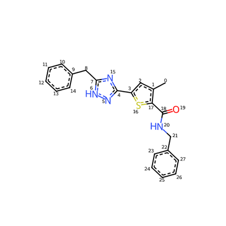 Cc1cc(-c2n[nH]c(Cc3ccccc3)n2)sc1C(=O)NCc1ccccc1